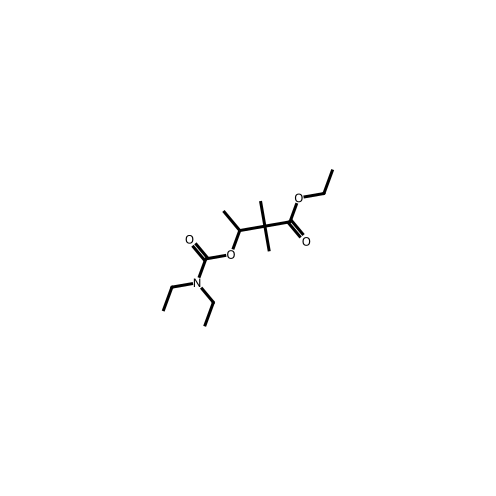 CCOC(=O)C(C)(C)C(C)OC(=O)N(CC)CC